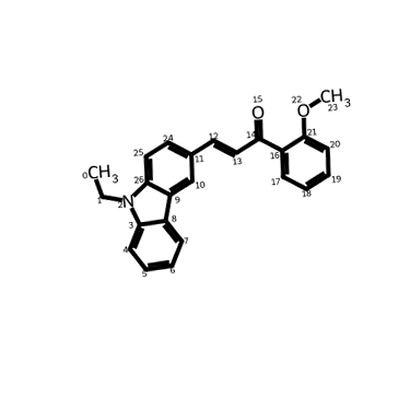 CCn1c2ccccc2c2cc(C=CC(=O)c3ccccc3OC)ccc21